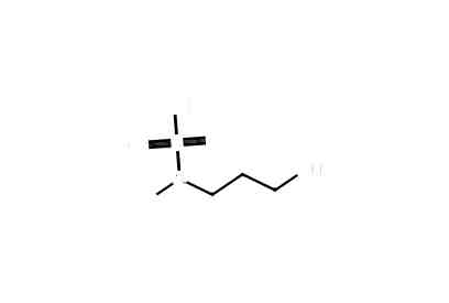 CN(CCCO)S(C)(=O)=O